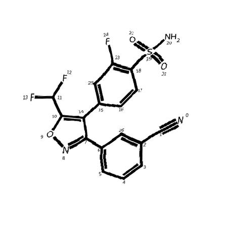 N#Cc1cccc(-c2noc(C(F)F)c2-c2ccc(S(N)(=O)=O)c(F)c2)c1